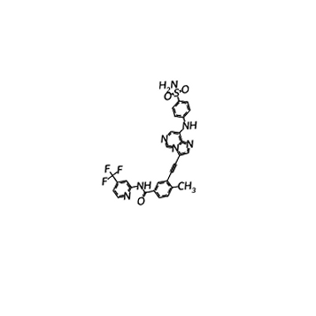 Cc1ccc(C(=O)Nc2cc(C(F)(F)F)ccn2)cc1C#Cc1cnc2c(Nc3ccc(S(N)(=O)=O)cc3)cncn12